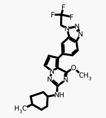 COc1nc(NC2CCC(C)CC2)nn2ccc(-c3ccc4nnn(CC(F)(F)F)c4c3)c12